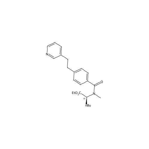 CCCC[C@@H](C(=O)OCC)N(C)C(=O)c1ccc(CCc2cccnc2)cc1